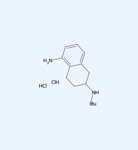 CCC(C)NC1CCc2c(N)cccc2C1.Cl.Cl